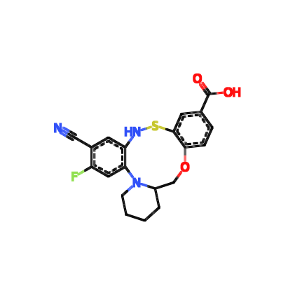 N#Cc1cc2c(cc1F)N1CCCCC1COc1ccc(C(=O)O)cc1SN2